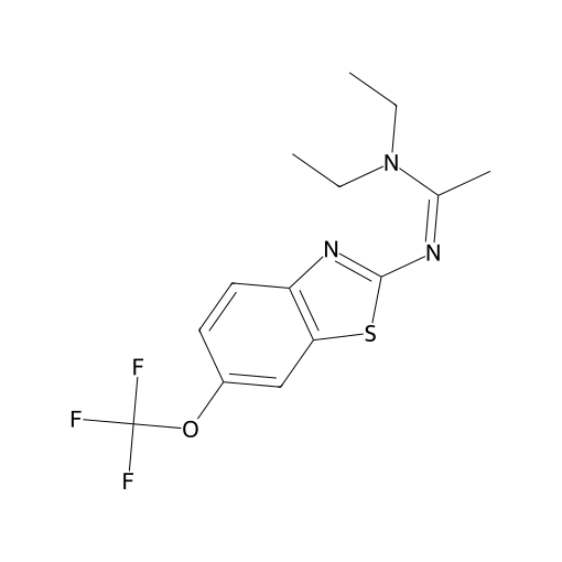 CCN(CC)/C(C)=N\c1nc2ccc(OC(F)(F)F)cc2s1